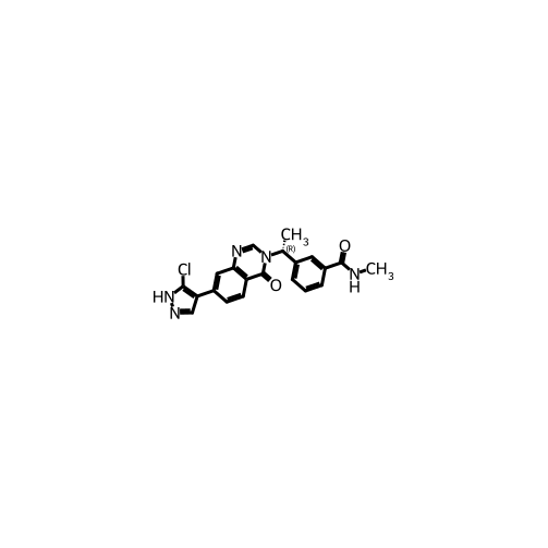 CNC(=O)c1cccc([C@@H](C)n2cnc3cc(-c4cn[nH]c4Cl)ccc3c2=O)c1